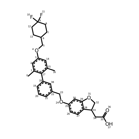 Cc1cc(OCC2CCC(F)(F)CC2)cc(C)c1-c1cccc(COc2ccc3c(c2)OCC3CC(=O)O)c1